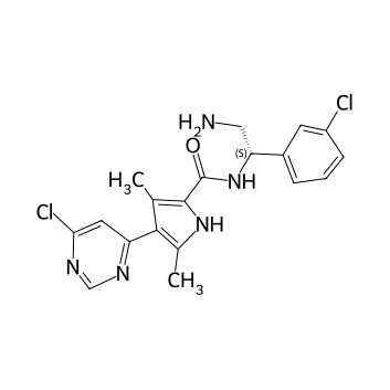 Cc1[nH]c(C(=O)N[C@H](CN)c2cccc(Cl)c2)c(C)c1-c1cc(Cl)ncn1